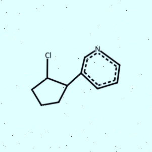 ClC1CCCC1c1cccnc1